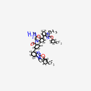 Cn1c(Oc2cccc(C(F)(F)F)c2)nc2c(-c3cccc(C(=O)N(CC(N)=O)c4cccc(-c5cccc6c5nc(Oc5cccc(C(F)(F)F)c5)n6C)c4)c3)cccc21